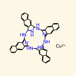 [Cu+2].c1ccc2cc3c(cc2c1)C1Nc2[n-]c(c4cc5ccccc5cc24)NC2NC(Nc4[n-]c(c5cc6ccccc6cc45)NC3N1)c1cc3ccccc3cc12